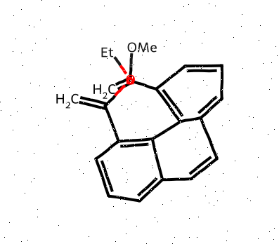 C=C(OC)c1cccc2ccc3cccc(C(=C)OCC)c3c12